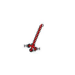 CC(=O)CCOCCOCCOCCOCCOCCOCCOCCOCCOCCOCCOCCOCCNC(=O)[C@H](OCCCCOS(=O)(=O)O)[C@@H](COCCCCOS(=O)(=O)O)OCCCCOS(=O)(=O)O